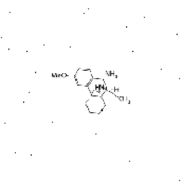 COc1ccc2c(c1)[C@]13CCCC[C@@H]1[C@H](C2)N(C)CC3.N